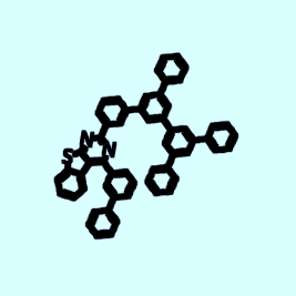 c1ccc(-c2cc(-c3ccccc3)cc(-c3cc(-c4ccccc4)cc(-c4cccc(-c5nc(-c6cccc(-c7ccccc7)c6)c6c(n5)sc5ccccc56)c4)c3)c2)cc1